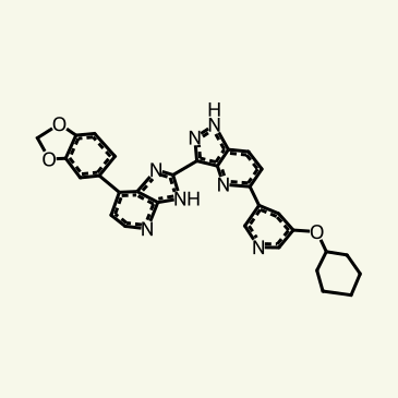 c1cc(-c2ccc3c(c2)OCO3)c2nc(-c3n[nH]c4ccc(-c5cncc(OC6CCCCC6)c5)nc34)[nH]c2n1